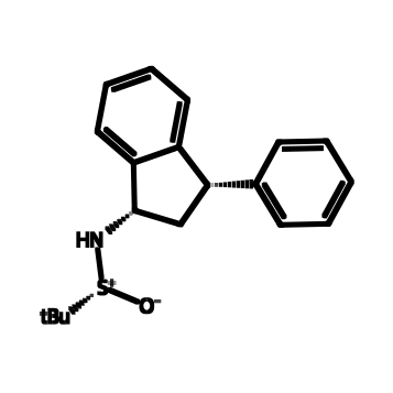 CC(C)(C)[S@@+]([O-])N[C@H]1C[C@@H](c2ccccc2)c2ccccc21